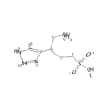 NCC(CCS(=O)(=O)O)c1c[nH]nn1